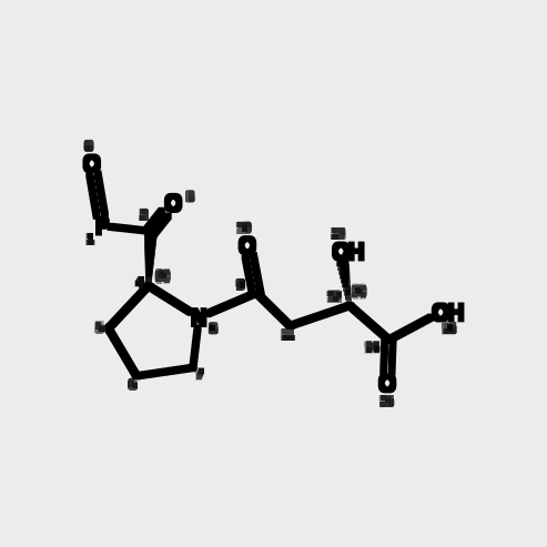 O=PC(=O)[C@@H]1CCCN1C(=O)C[C@H](O)C(=O)O